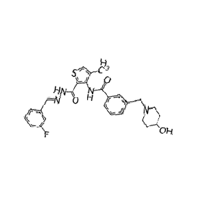 Cc1csc(C(=O)N/N=C/c2cccc(F)c2)c1NC(=O)c1cccc(CN2CCC(O)CC2)c1